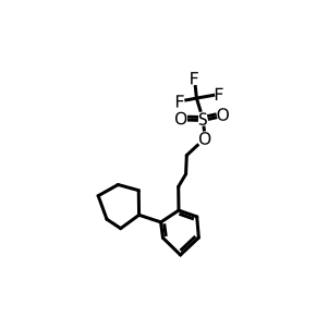 O=S(=O)(OCCCc1ccccc1C1CCCCC1)C(F)(F)F